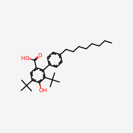 CCCCCCCCc1ccc(-c2c(C(=O)O)cc(C(C)(C)C)c(O)c2C(C)(C)C)cc1